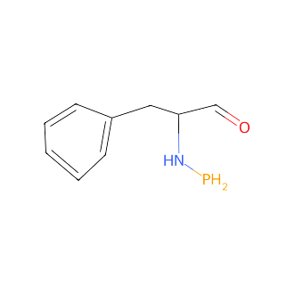 O=CC(Cc1ccccc1)NP